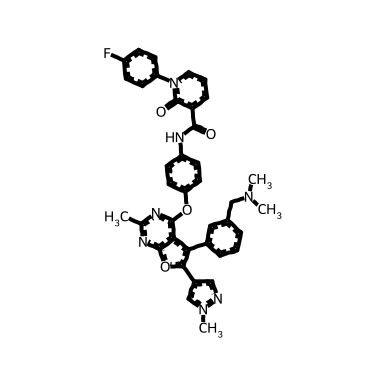 Cc1nc(Oc2ccc(NC(=O)c3cccn(-c4ccc(F)cc4)c3=O)cc2)c2c(-c3cccc(CN(C)C)c3)c(-c3cnn(C)c3)oc2n1